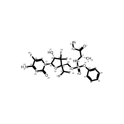 CC(C)OC(=O)[C@H](C)NP(=O)(OC[C@@]1(C(F)F)O[C@@H](n2cc(F)c(N)nc2=O)[C@H](O)C1(F)F)Oc1ccccc1